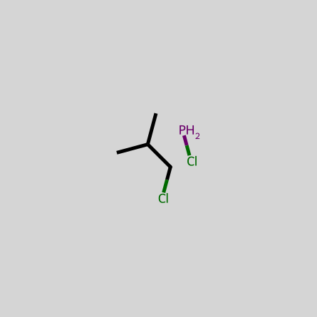 CC(C)CCl.PCl